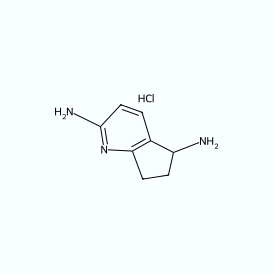 Cl.Nc1ccc2c(n1)CCC2N